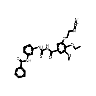 CCOc1c(OC)cc(C(=O)NC(=S)Nc2cccc(NC(=O)c3ccccc3)c2)cc1OCCN=[N+]=[N-]